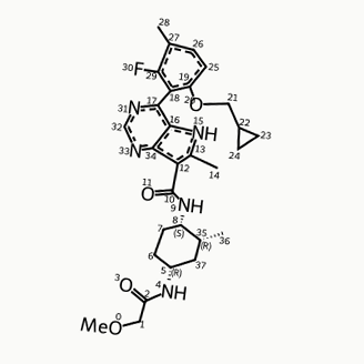 COCC(=O)N[C@@H]1CC[C@H](NC(=O)c2c(C)[nH]c3c(-c4c(OCC5CC5)ccc(C)c4F)ncnc23)[C@H](C)C1